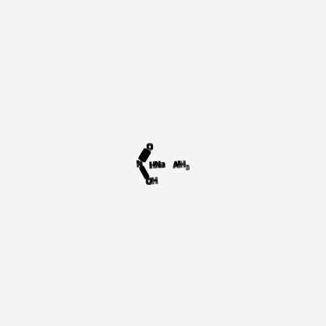 O=NO.[AlH3].[NaH]